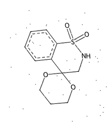 O=S1(=O)NCC2(OCCCO2)c2ccccc21